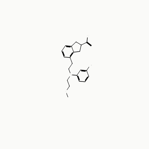 C=C(N)C1Cc2cccc(CCN(CCNC)c3cccc(O)c3)c2C1